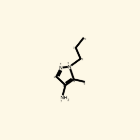 CCCn1ncc(N)c1C